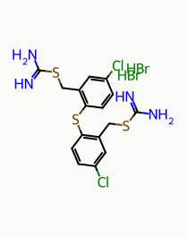 Br.Br.N=C(N)SCc1cc(Cl)ccc1Sc1ccc(Cl)cc1CSC(=N)N